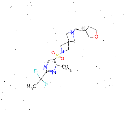 Cc1nc(C(C)(F)F)ncc1S(=O)(=O)N1CC2(CN(C[C@H]3CCOC3)C2)C1